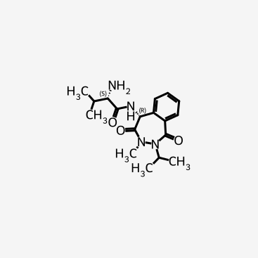 CC(C)[C@H](N)C(=O)N[C@H]1C(=O)N(C)N(C(C)C)C(=O)c2ccccc21